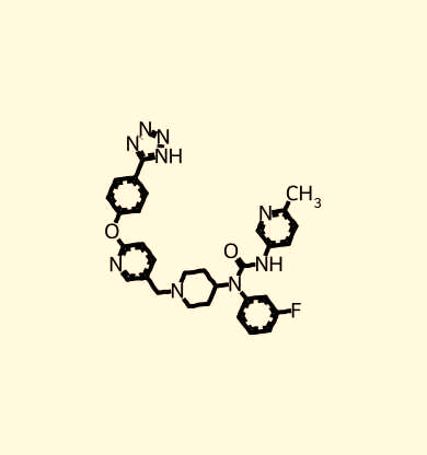 Cc1ccc(NC(=O)N(c2cccc(F)c2)C2CCN(Cc3ccc(Oc4ccc(-c5nnn[nH]5)cc4)nc3)CC2)cn1